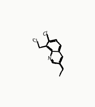 CCc1cnc2c(CCl)c(Cl)ccc2c1